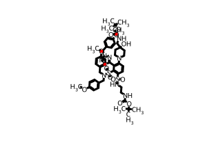 COc1ccc(CN(Cc2ccc(OC)cc2)S(=O)(=O)c2c(S(=O)(=O)NCCNC(=O)OC(C)(C)C)ccc(N3CCC(O)(CNC(=O)OC(C)(C)C)CC3)c2-c2nnn(Cc3ccc(OC)cc3)n2)cc1